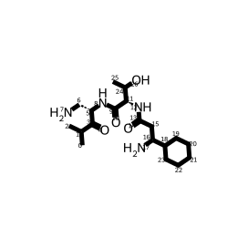 CC(C)C(=O)[C@H](CN)NC(=O)[C@@H](NC(=O)CC(N)C1CCCCC1)C(C)O